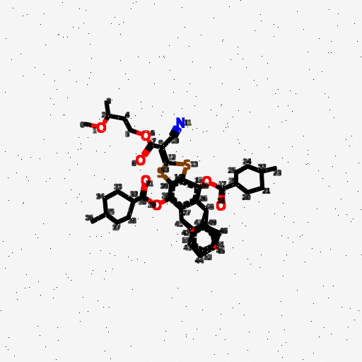 COC(C)CCOC(=O)C(C#N)=C1Sc2c(OC(=O)C3CCC(C)CC3)c3c(c(OC(=O)C4CCC(C)CC4)c2S1)C1c2ccccc2C3c2ccccc21